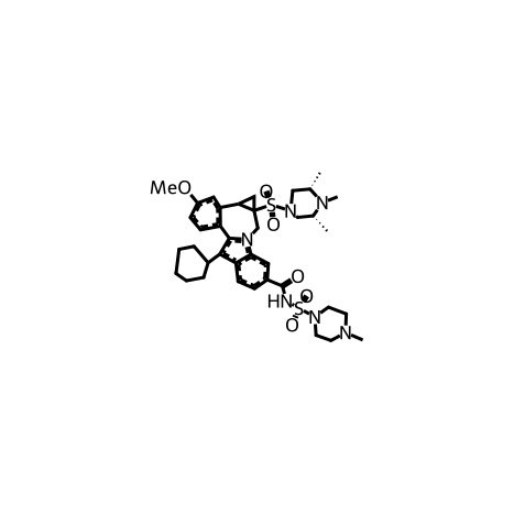 COc1ccc2c(c1)C1CC1(S(=O)(=O)N1C[C@@H](C)N(C)[C@@H](C)C1)Cn1c-2c(C2CCCCC2)c2ccc(C(=O)NS(=O)(=O)N3CCN(C)CC3)cc21